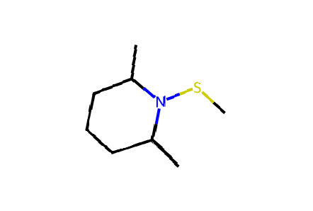 CSN1C(C)CCCC1C